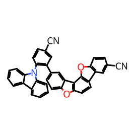 N#Cc1ccc(-n2c3ccccc3c3ccccc32)c(-c2ccc3oc4ccc5c6cc(C#N)ccc6oc5c4c3c2)c1